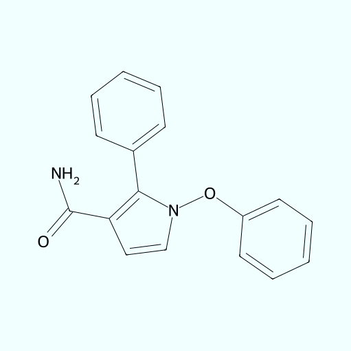 NC(=O)c1ccn(Oc2ccccc2)c1-c1ccccc1